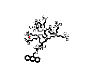 O=C(NCCCC[Si](CCC[Si](CCC[Si](Cl)(Cl)Cl)(CCC[Si](Cl)(Cl)Cl)CCC[Si](Cl)(Cl)Cl)(CCC[Si](CCC[Si](Cl)(Cl)Cl)(CCC[Si](Cl)(Cl)Cl)CCC[Si](Cl)(Cl)Cl)CCC[Si](CCC[Si](Cl)(Cl)Cl)(CCC[Si](Cl)(Cl)Cl)CCC[Si](Cl)(Cl)Cl)OCc1c2ccccc2cc2ccccc12